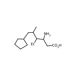 CCC(C(C)CC1CCCC1)C(N)CC(=O)O